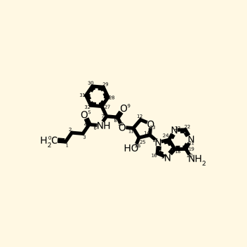 C=CCCC(=O)NC(C(=O)OC1COC(n2cnc3c(N)ncnc32)C1O)c1ccccc1